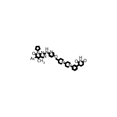 CC(=O)c1c(C)c2cnc(Nc3ccc(OCC4CCN(C5CCN(c6cccc(C7CCC(=O)NC7=O)c6)CC5)CC4)cn3)nc2n(C2CCCC2)c1=O